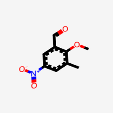 COc1c(C)cc([N+](=O)[O-])cc1C=O